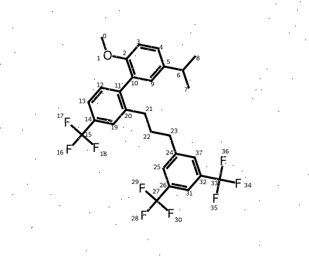 COc1ccc(C(C)C)cc1-c1ccc(C(F)(F)F)cc1CCCc1cc(C(F)(F)F)cc(C(F)(F)F)c1